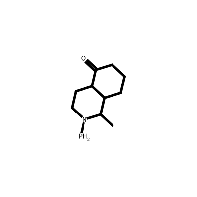 CC1C2CCCC(=O)C2CCN1P